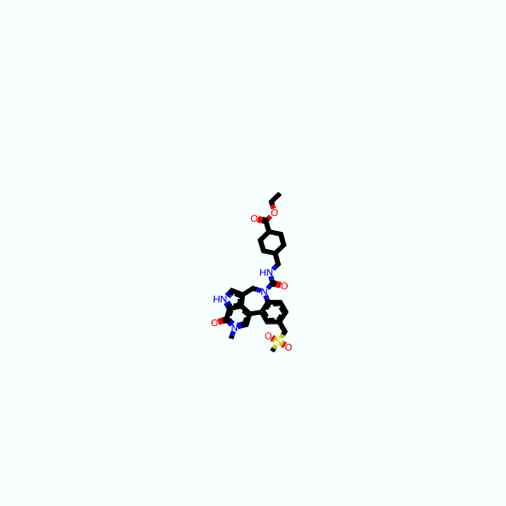 CCOC(=O)C1CCC(CNC(=O)N2Cc3c[nH]c4c(=O)n(C)cc(c34)-c3cc(CS(C)(=O)=O)ccc32)CC1